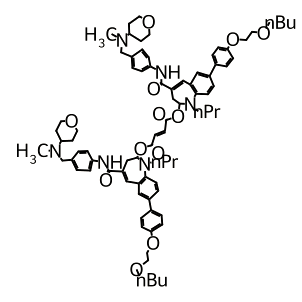 CCCCOCCOc1ccc(-c2ccc3c(c2)C=C(C(=O)Nc2ccc(CN(C)C4CCOCC4)cc2)CC(OC(=O)/C=C/C(=O)OC2CC(C(=O)Nc4ccc(CN(C)C5CCOCC5)cc4)=Cc4cc(-c5ccc(OCCOCCCC)cc5)ccc4N2CCC)N3CCC)cc1